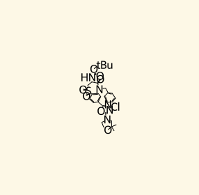 CC(C)(C)OC(=O)N[C@H]1CS(=O)(=O)c2ccc(-c3nnc(N4CCOC(C)(C)C4)o3)cc2N(Cc2ccc(Cl)cc2)C1=O